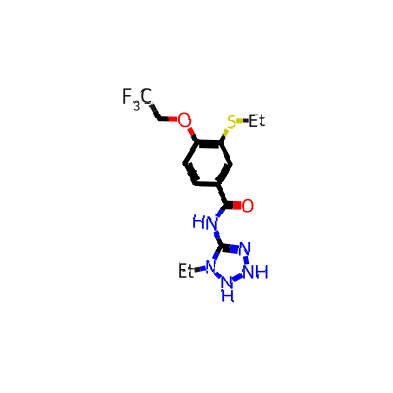 CCSc1cc(C(=O)NC2=NNNN2CC)ccc1OCC(F)(F)F